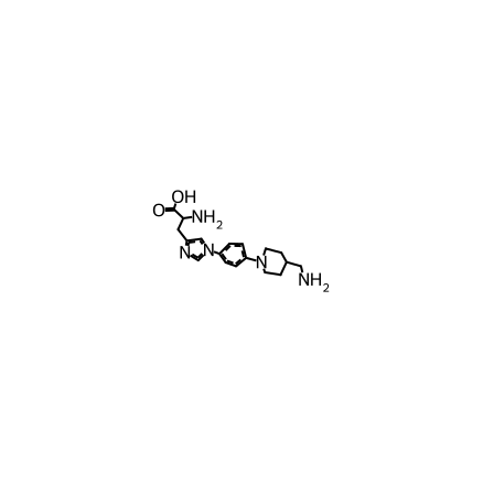 NCC1CCN(c2ccc(-n3cnc(CC(N)C(=O)O)c3)cc2)CC1